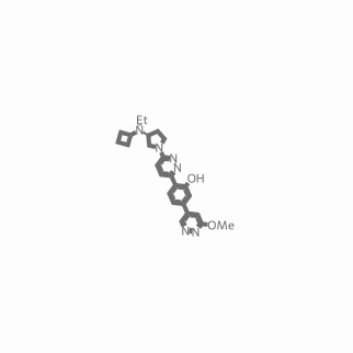 CCN(C1CCC1)[C@H]1CCN(c2ccc(-c3ccc(-c4cnnc(OC)c4)cc3O)nn2)C1